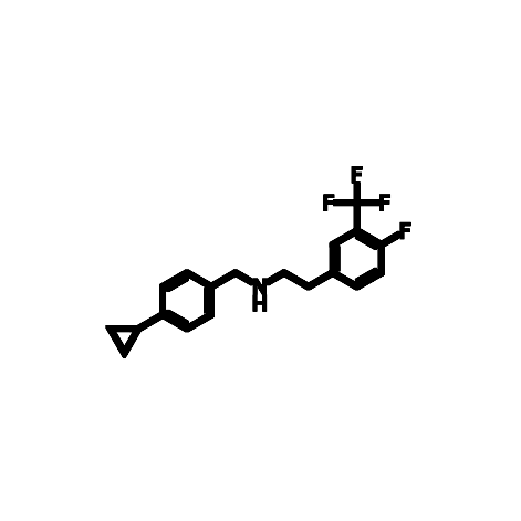 Fc1ccc(CCNCc2ccc(C3CC3)cc2)cc1C(F)(F)F